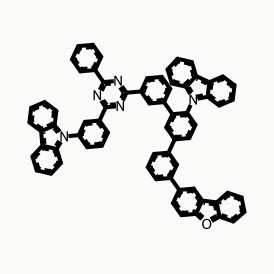 c1ccc(-c2nc(-c3cccc(-c4cc(-c5cccc(-c6ccc7oc8ccccc8c7c6)c5)ccc4-n4c5ccccc5c5ccccc54)c3)nc(-c3cccc(-n4c5ccccc5c5ccccc54)c3)n2)cc1